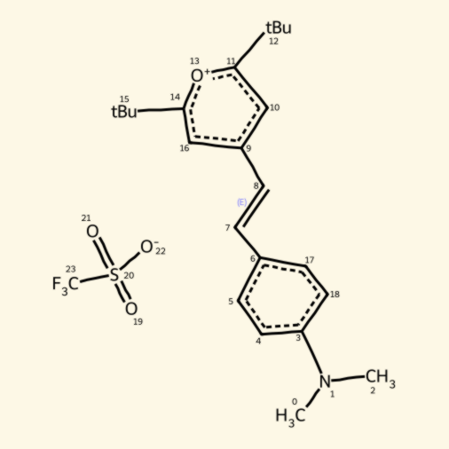 CN(C)c1ccc(/C=C/c2cc(C(C)(C)C)[o+]c(C(C)(C)C)c2)cc1.O=S(=O)([O-])C(F)(F)F